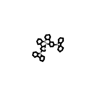 c1ccc2c(c1)B1c3ccccc3-c3cc(-n4c5ccccc5c5ccccc54)ccc3N1c1ccc(-n3c4ccccc4c4ccccc43)cc1-2